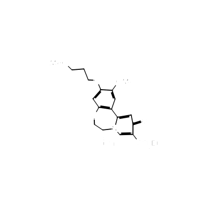 CCOC(=O)c1cn2c(cc1=O)-c1cc(OC)c(OCCCOC)cc1OC[C@H]2C(C)(C)C